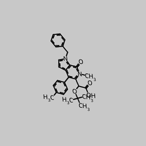 Cc1ccc(-c2c(C(OC(C)(C)C)C(=O)O)n(C)c(=O)c3c2ccn3Cc2ccccc2)cc1